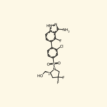 Nc1n[nH]c2ccc(-c3ccc(S(=O)(=O)N4CC(F)(F)C[C@H]4CO)cc3Cl)c(F)c12